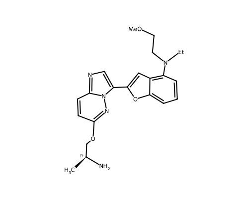 CCN(CCOC)c1cccc2oc(-c3cnc4ccc(OC[C@H](C)N)nn34)cc12